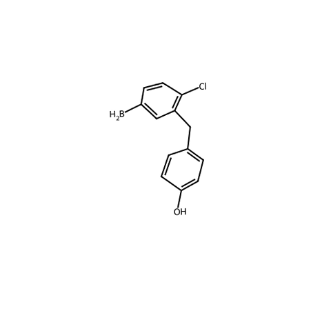 Bc1ccc(Cl)c(Cc2ccc(O)cc2)c1